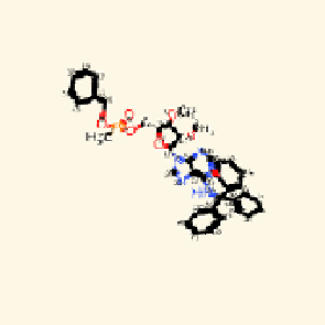 COC1[C@@H](COP(C)(=O)OCc2ccccc2)O[C@@H](n2cnc3c(NC(c4ccccc4)(c4ccccc4)c4ccccc4)ncnc32)[C@H]1OC